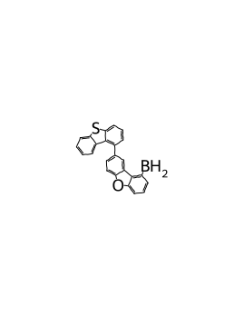 Bc1cccc2oc3ccc(-c4cccc5sc6ccccc6c45)cc3c12